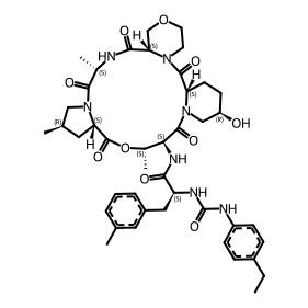 CCc1ccc(NC(=O)N[C@@H](Cc2cccc(C)c2)C(=O)N[C@@H]2C(=O)N3C[C@H](O)CC[C@H]3C(=O)N3CCOC[C@H]3C(=O)N[C@@H](C)C(=O)N3C[C@H](C)C[C@H]3C(=O)O[C@H]2C)cc1